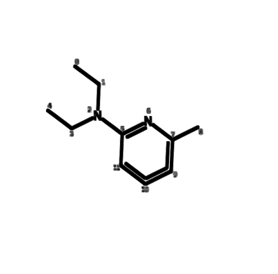 CCN(CC)C1=NC(C)=C=C=C1